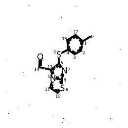 Cc1ccc(Sc2nc3sccn3c2C=O)cc1